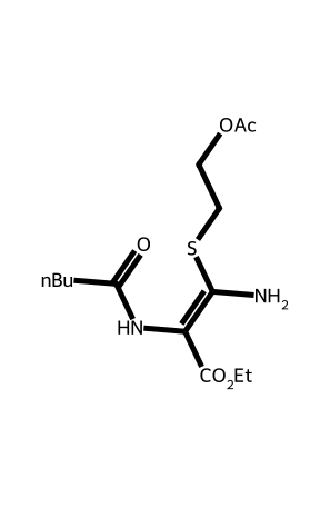 CCCCC(=O)NC(C(=O)OCC)=C(N)SCCOC(C)=O